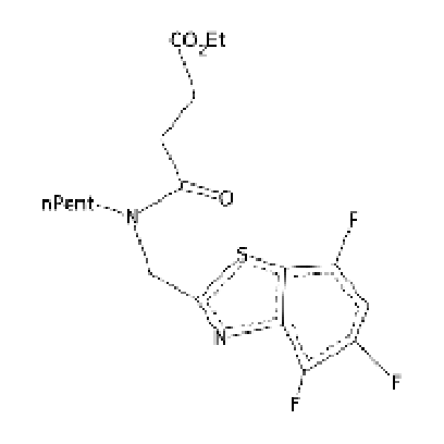 CCCCCN(Cc1nc2c(F)c(F)cc(F)c2s1)C(=O)CCC(=O)OCC